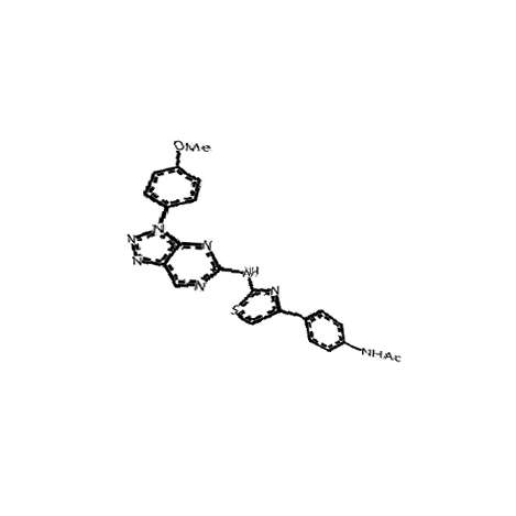 COc1ccc(-n2nnc3cnc(Nc4nc(-c5ccc(NC(C)=O)cc5)cs4)nc32)cc1